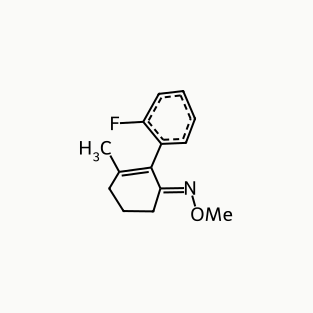 CON=C1CCCC(C)=C1c1ccccc1F